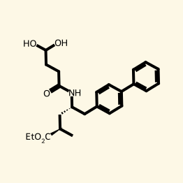 CCOC(=O)[C@H](C)C[C@@H](Cc1ccc(-c2ccccc2)cc1)NC(=O)CCC(O)O